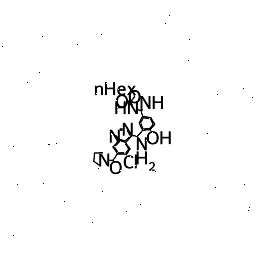 CCCCCCOC(=O)NC(=N)c1ccc(O)c(C(N)c2ncnc3cc(C(=O)N4CCCC4)c(Cl)cc23)c1